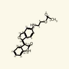 CC(=O)OCCNc1ccc2c(c1)CO/C2=C1/C(=O)Nc2ccccc21